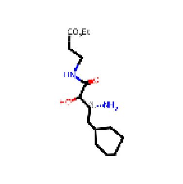 CCOC(=O)CCNC(=O)C(O)[C@H](N)CC1CCCCC1